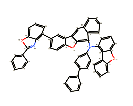 c1ccc(-c2ccc(N(c3c4ccccc4cc4c3oc3ccc(-c5cccc6oc(-c7ccccc7)nc56)cc34)c3cccc4oc5ccccc5c34)cc2)cc1